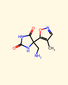 Cc1cnoc1C1(CN)NC(=O)NC1=O